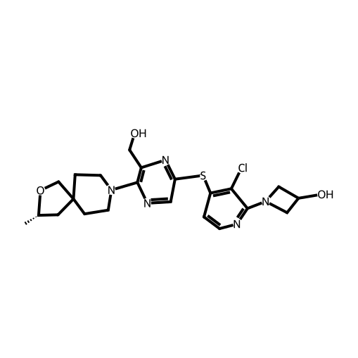 C[C@H]1CC2(CCN(c3ncc(Sc4ccnc(N5CC(O)C5)c4Cl)nc3CO)CC2)CO1